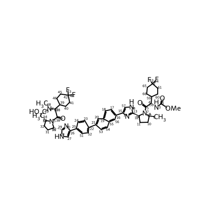 COC(=O)N[C@H](C(=O)N1[C@@H](C)CC[C@H]1c1nc(-c2ccc3cc(-c4ccc(-c5c[nH]c([C@@H]6CC[C@H](C)N6C(=O)[C@H](C6CCC(F)(F)CC6)N(C)C(=O)O)n5)cc4)ccc3c2)c[nH]1)C1CCC(F)(F)CC1